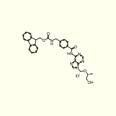 CC[C@@H](O[C@@H](C)CO)n1cnc2c(NC(=O)c3ccc(CNC(=O)OCC4c5ccccc5-c5ccccc54)cc3)ncnc21